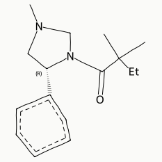 CCC(C)(C)C(=O)N1CN(C)C[C@H]1c1ccccc1